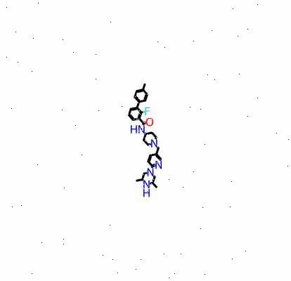 Cc1ccc(-c2cccc(C(=O)NC3CCN(Cc4ccc(N5CC(C)NC(C)C5)nc4)CC3)c2F)cc1